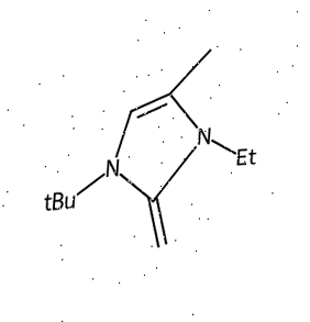 C=C1N(CC)C(C)=CN1C(C)(C)C